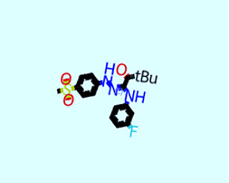 CC(C)(C)C(=O)/C(=N\Nc1ccc(S(C)(=O)=O)cc1)Nc1cccc(F)c1